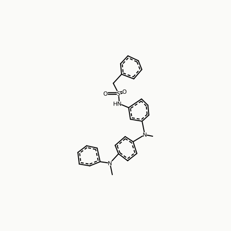 CN(c1ccccc1)c1ccc(N(C)c2cccc(NS(=O)(=O)Cc3ccccc3)c2)cc1